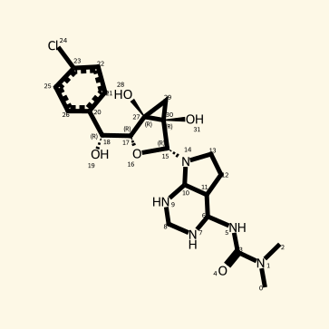 CN(C)C(=O)NC1NCNC2C1CCN2[C@@H]1O[C@H]([C@H](O)c2ccc(Cl)cc2)[C@]2(O)C[C@]12O